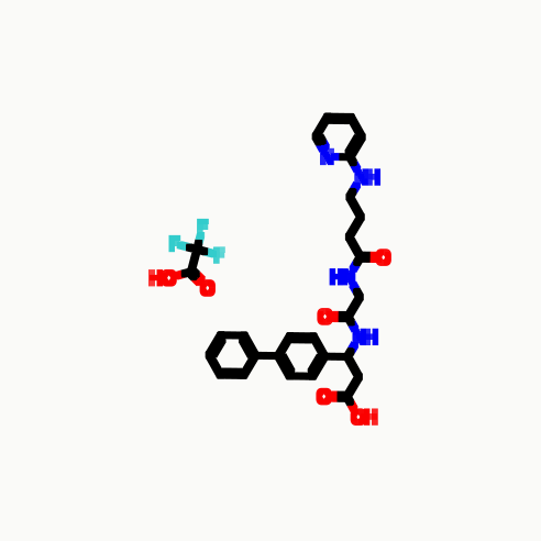 O=C(O)C(F)(F)F.O=C(O)CC(NC(=O)CNC(=O)CCCNc1ccccn1)c1ccc(-c2ccccc2)cc1